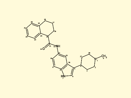 CN1CCC(c2c[nH]c3ccc(NC(=O)C4CCCc5ccccc54)cc23)CC1